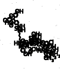 CC(C)C[C@H](NC(=O)CNC(=O)[C@H](Cc1ccc(O)c(Cl)c1)NC(=O)[C@@H]1C[C@@H](O)CN1C(=O)[C@H](CS)NC(=O)[C@@H](CCC(=O)O)NC(=O)[C@H](Cc1ccc(O)cc1)NC(=O)CCCCCNC(=S)Nc1ccc(-c2c3ccc(=O)cc-3oc3cc(O)ccc23)c(C(=O)O)c1)C(=O)N[C@H](C)CS